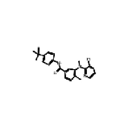 Cc1ccc(C(=O)Nc2ccc(C(C)(C)C)cc2)cc1N(C)c1ncccc1Cl